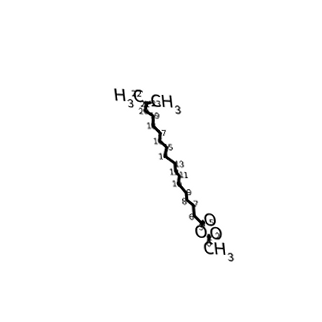 CC(=O)OC(=O)CCCCCCCCCCCCCCCC(C)C